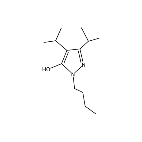 CCCCn1nc(C(C)C)c(C(C)C)c1O